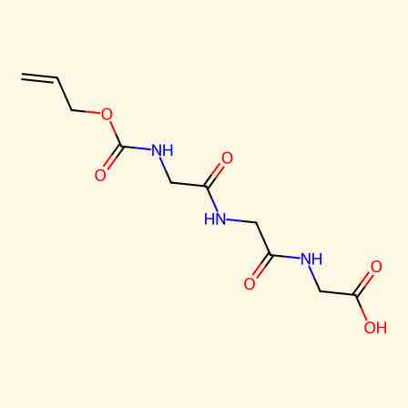 C=CCOC(=O)NCC(=O)NCC(=O)NCC(=O)O